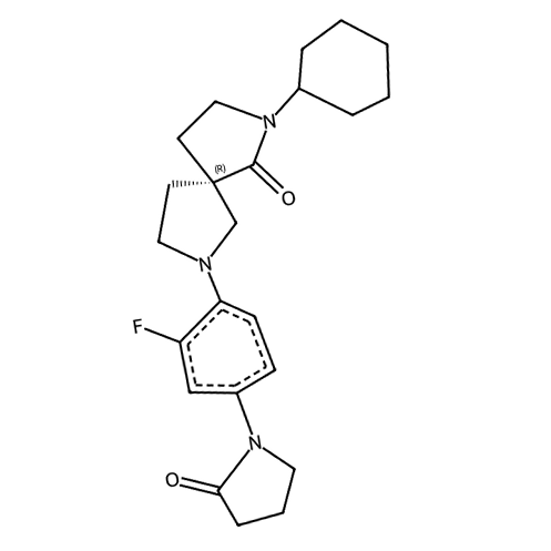 O=C1CCCN1c1ccc(N2CC[C@@]3(CCN(C4CCCCC4)C3=O)C2)c(F)c1